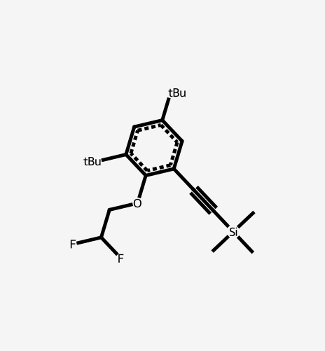 CC(C)(C)c1cc(C#C[Si](C)(C)C)c(OCC(F)F)c(C(C)(C)C)c1